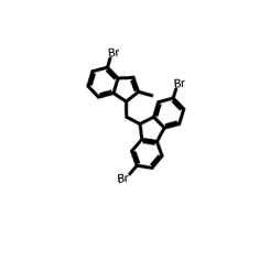 CC1=Cc2c(Br)cccc2C1CC1c2cc(Br)ccc2-c2ccc(Br)cc21